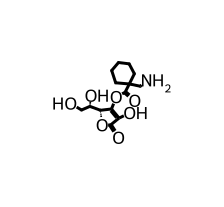 NCC1(C(=O)OC2=C(O)C(=O)O[C@@H]2[C@@H](O)CO)CCCCC1